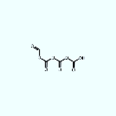 O=COC(=O)OC(=O)OC(=O)O